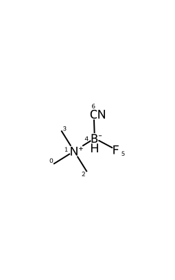 C[N+](C)(C)[BH-](F)C#N